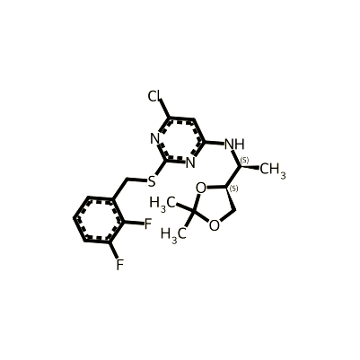 C[C@H](Nc1cc(Cl)nc(SCc2cccc(F)c2F)n1)[C@H]1COC(C)(C)O1